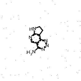 Nc1nnnc2c3c(ncc12)NCC3